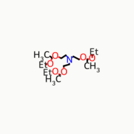 CCOC(C)OCCN(CCOC(C)OCC)CCOC(C)OCC